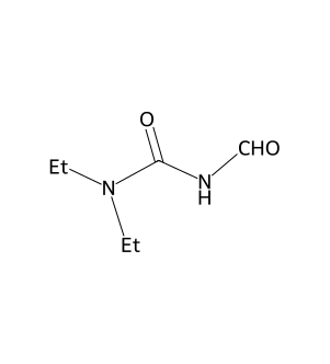 CCN(CC)C(=O)NC=O